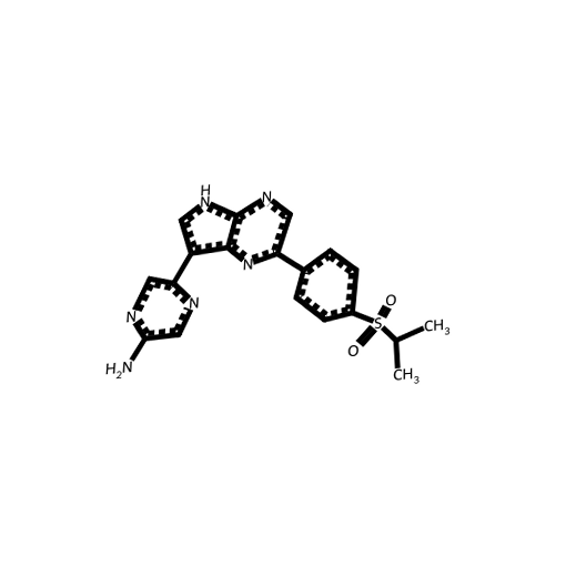 CC(C)S(=O)(=O)c1ccc(-c2cnc3[nH]cc(-c4cnc(N)cn4)c3n2)cc1